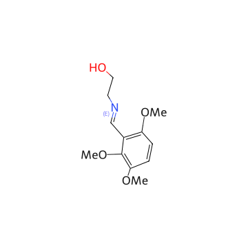 COc1ccc(OC)c(OC)c1/C=N/CCO